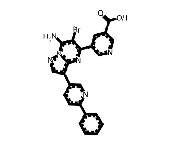 Nc1c(Br)c(-c2cncc(C(=O)O)c2)nc2c(-c3ccc(-c4ccccc4)nc3)cnn12